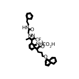 Cc1c(-c2cccc3c(CCCOc4cccc5ccccc45)c(OC(=O)O)[nH]c23)c(C(F)(F)F)nn1CC(=O)NCCc1ccccc1